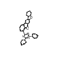 c1ccc(-c2nc(-c3ccccc3)nc(-c3cccc4c3oc3cc5oc6ccccc6c5cc34)n2)cc1